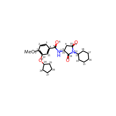 COc1ccc(C(=O)N[C@H]2CC(=O)N(C3CCCCC3)C2=O)cc1OC1CCCC1